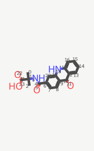 CC(C)(NC(=O)c1ccc2c(=O)c3ccccc3[nH]c2c1)C(=O)O